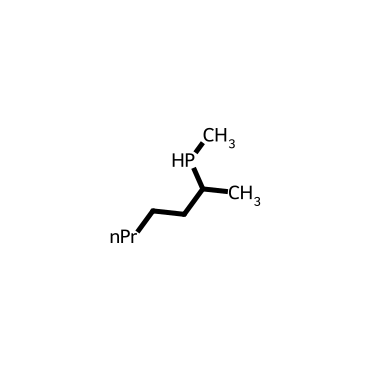 CCCCCC(C)PC